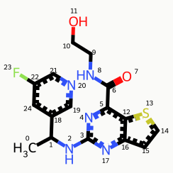 CC(Nc1nc(C(=O)NCCO)c2sccc2n1)c1cncc(F)c1